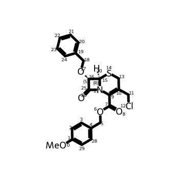 COc1ccc(COC(=O)C2=C(CCl)CS[C@@H]3[C@@H](OCc4ccccc4)C(=O)N23)cc1